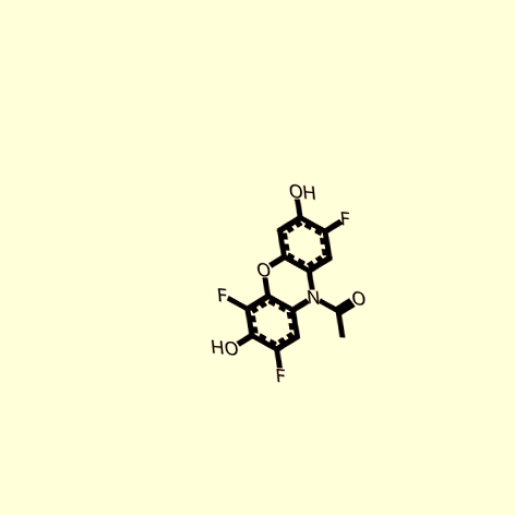 CC(=O)N1c2cc(F)c(O)cc2Oc2c1cc(F)c(O)c2F